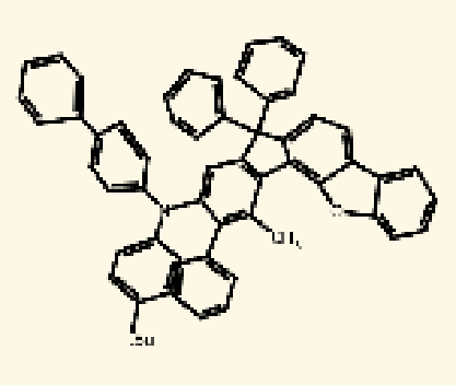 Cc1c(-c2ccccc2)c(N(c2ccc(-c3ccccc3)cc2)c2ccc(C(C)(C)C)cc2)cc2c1-c1c(ccc3c1oc1ccccc13)C2(c1ccccc1)c1ccccc1